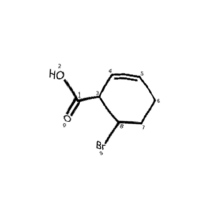 O=C(O)C1C=CCCC1Br